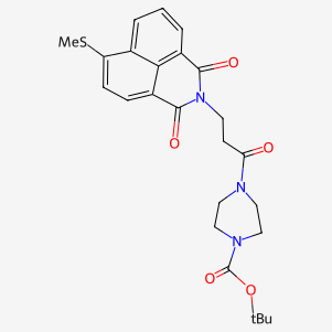 CSc1ccc2c3c(cccc13)C(=O)N(CCC(=O)N1CCN(C(=O)OC(C)(C)C)CC1)C2=O